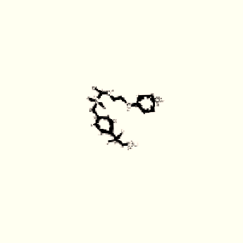 CC(OCCOc1ccccc1)[N+](C)(C)Cc1ccc(C(C)(C)CC(C)(C)C)cc1.[Cl-]